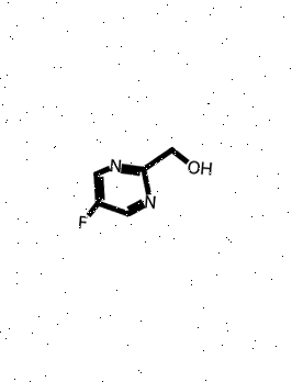 OCc1ncc(F)cn1